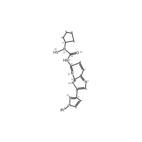 CC(C)n1ccc(-c2cnc3ccc(NC(=O)N(S)C4CCCC4)nc3n2)n1